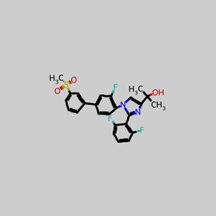 CC(C)(O)c1cn(-c2ccc(-c3cccc(S(C)(=O)=O)c3)cc2F)c(-c2c(F)cccc2F)n1